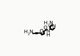 NCC#Cc1ccc(C(=O)Nc2ccnc(N)c2)o1